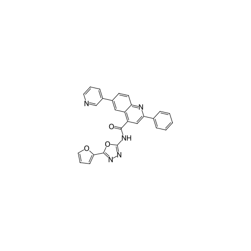 O=C(Nc1nnc(-c2ccco2)o1)c1cc(-c2ccccc2)nc2ccc(-c3cccnc3)cc12